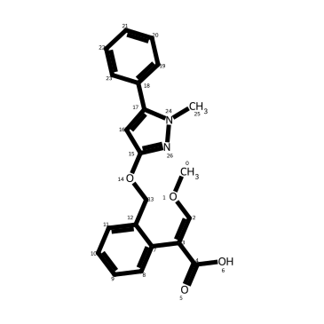 CO/C=C(/C(=O)O)c1ccccc1COc1cc(-c2ccccc2)n(C)n1